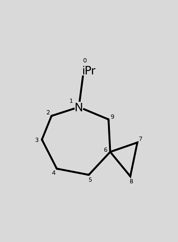 CC(C)N1CCCCC2(CC2)C1